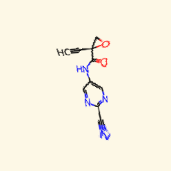 C#C[C@@]1(C(=O)Nc2cnc(C#N)nc2)CO1